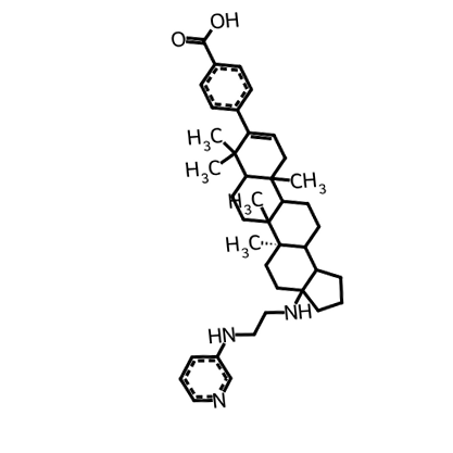 CC1(C)C(c2ccc(C(=O)O)cc2)=CCC2(C)C1CCC1(C)C2CCC2C3CCCC3(NCCNc3cccnc3)CC[C@]21C